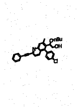 CCCCOC(CO)c1c(C)cc2nc(C#Cc3ccccc3)ccc2c1-c1ccc(Cl)cc1